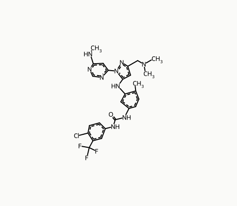 CNc1cc(-n2nc(CN(C)C)cc2Nc2cc(NC(=O)Nc3ccc(Cl)c(C(F)(F)F)c3)ccc2C)ncn1